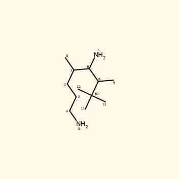 CC(CCCN)C(N)C(C)C(C)(C)C